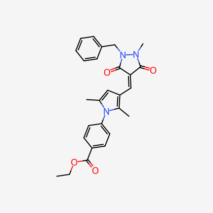 CCOC(=O)c1ccc(-n2c(C)cc(/C=C3/C(=O)N(C)N(Cc4ccccc4)C3=O)c2C)cc1